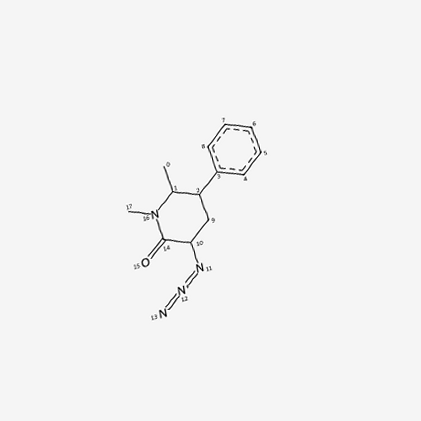 CC1C(c2ccccc2)CC(N=[N+]=[N-])C(=O)N1C